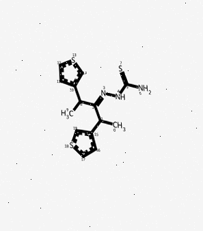 CC(C(=NNC(N)=S)C(C)c1ccsc1)c1ccsc1